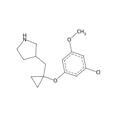 COc1cc(Cl)cc(OC2(CC3CCNC3)CC2)c1